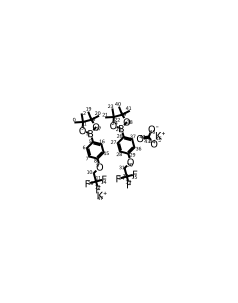 CC1(C)OB(c2ccc(OCC(F)(F)F)cc2)OC1(C)C.CC1(C)OB(c2ccc(OCC(F)(F)F)cc2)OC1(C)C.O=C([O-])[O-].[K+].[K+]